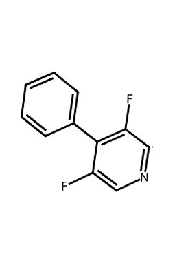 Fc1[c]ncc(F)c1-c1ccccc1